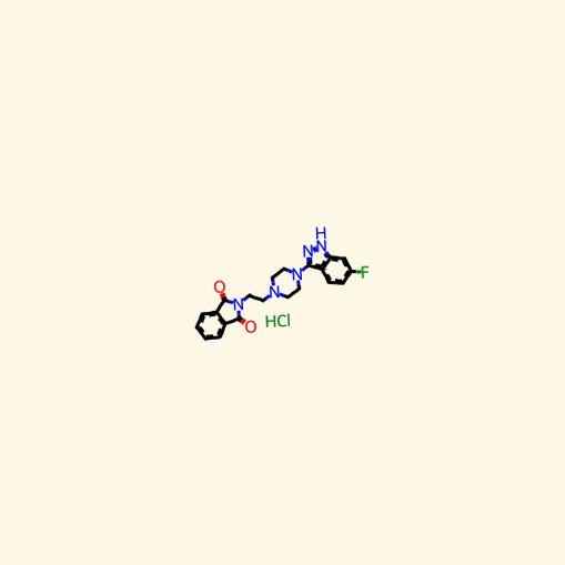 Cl.O=C1c2ccccc2C(=O)N1CCN1CCN(c2n[nH]c3cc(F)ccc23)CC1